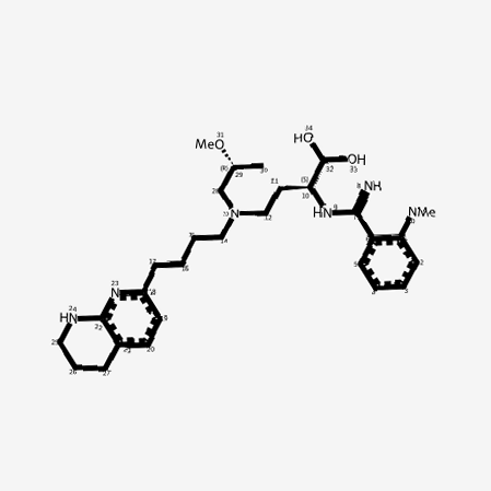 CNc1ccccc1C(=N)N[C@@H](CCN(CCCCc1ccc2c(n1)NCCC2)C[C@@H](C)OC)C(O)O